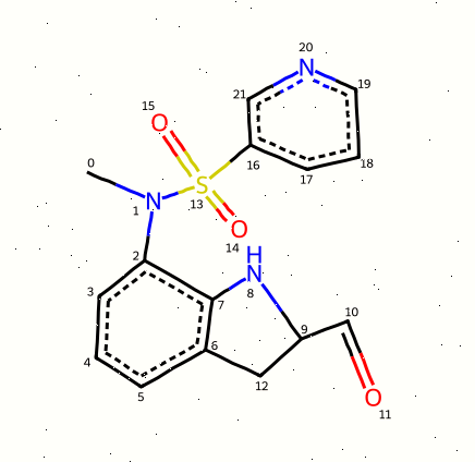 CN(c1cccc2c1NC(C=O)C2)S(=O)(=O)c1cccnc1